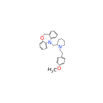 COc1ccc(CCN2CCCCC2CN2c3ccccc3COc3ccccc32)cc1